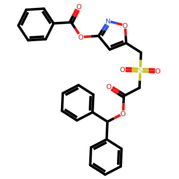 O=C(CS(=O)(=O)Cc1cc(OC(=O)c2ccccc2)no1)OC(c1ccccc1)c1ccccc1